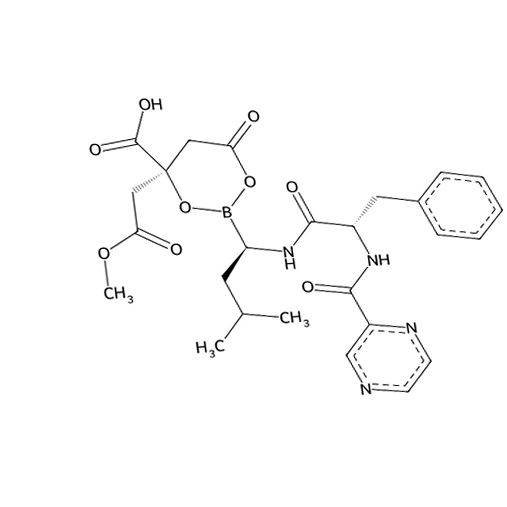 COC(=O)C[C@]1(C(=O)O)CC(=O)OB([C@H](CC(C)C)NC(=O)[C@H](Cc2ccccc2)NC(=O)c2cnccn2)O1